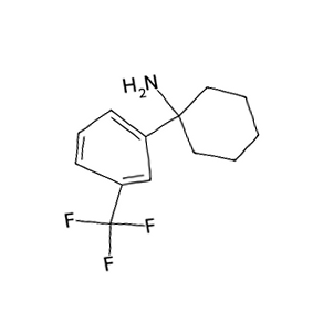 NC1(c2cccc(C(F)(F)F)c2)CCCCC1